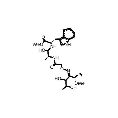 COC(=O)[C@H](Cc1c[nH]c2ccccc12)NC(O)[C@H](C)NC(=O)CO/N=C(\C(O)C(C)O)[C@@H](OC)C(C)C